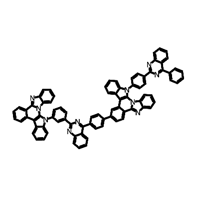 c1ccc(-c2nc(-c3ccc(-n4c5ccccc5c5c6cc(-c7ccc(-c8nc(-c9cccc(-n%10c%11ccccc%11c%11c%12ccccc%12c%12nc%13ccccc%13n%12c%11%10)c9)nc9ccccc89)cc7)ccc6c6nc7ccccc7n6c54)cc3)nc3ccccc23)cc1